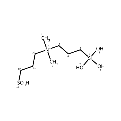 C[N+](C)(CCC[Si](O)(O)O)CCCS(=O)(=O)O